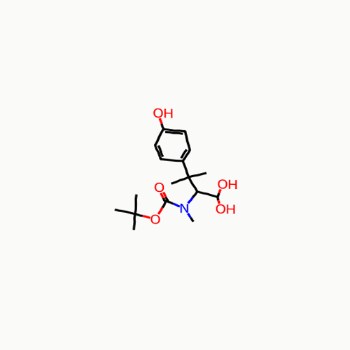 CN(C(=O)OC(C)(C)C)C(C(O)O)C(C)(C)c1ccc(O)cc1